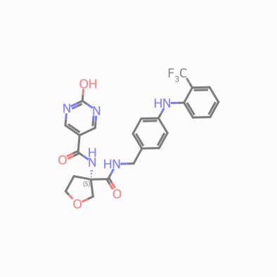 O=C(N[C@@]1(C(=O)NCc2ccc(Nc3ccccc3C(F)(F)F)cc2)CCOC1)c1cnc(O)nc1